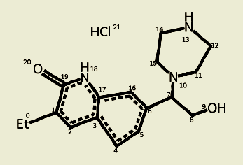 CCc1cc2ccc(C(CO)N3CCNCC3)cc2[nH]c1=O.Cl